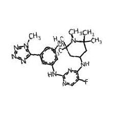 CN1C(C)(C)CC(Nc2nc(Nc3cc(C#N)cc(-c4nnnn4C)c3)ncc2F)CC1(C)C